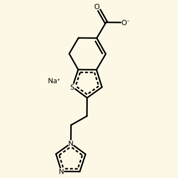 O=C([O-])C1=Cc2cc(CCn3ccnc3)sc2CC1.[Na+]